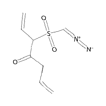 C=CCC(=O)C(C=C)S(=O)(=O)C=[N+]=[N-]